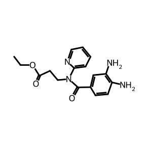 CCOC(=O)CCN(C(=O)c1ccc(N)c(N)c1)c1ccccn1